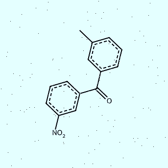 Cc1cccc(C(=O)c2cccc([N+](=O)[O-])c2)c1